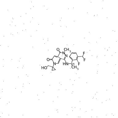 C[C@@H](Nc1nn(C)c(=O)c2cc(=O)n(C3(CO)CC3)cc12)c1cccc(C(F)F)c1F